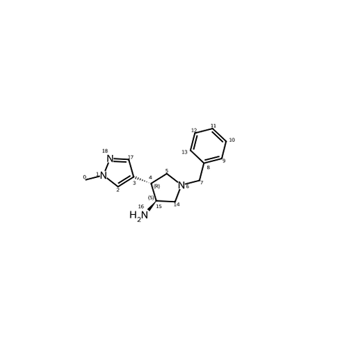 Cn1cc([C@@H]2CN(Cc3ccccc3)C[C@H]2N)cn1